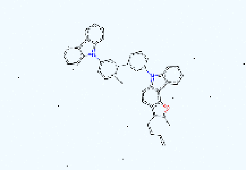 C=C/C=C\c1c(C)oc2c1ccc1c2c2ccccc2n1-c1cccc(-c2cc(-n3c4ccccc4c4ccccc43)ccc2C)c1